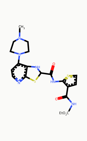 CCOC(=O)NC(=O)c1ccsc1NC(=O)C1Nc2c(N3CCN(C)CC3)ccnc2S1